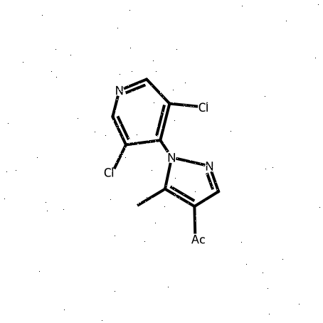 CC(=O)c1cnn(-c2c(Cl)cncc2Cl)c1C